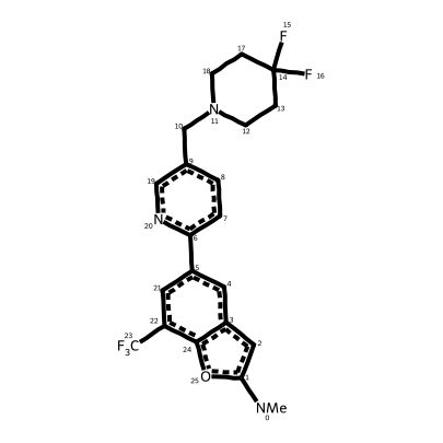 CNc1cc2cc(-c3ccc(CN4CCC(F)(F)CC4)cn3)cc(C(F)(F)F)c2o1